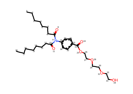 CCCCCCCC(=O)N(C(=O)CCCCCCC)c1ccc(C(=O)OCCOCCOCCO)cc1